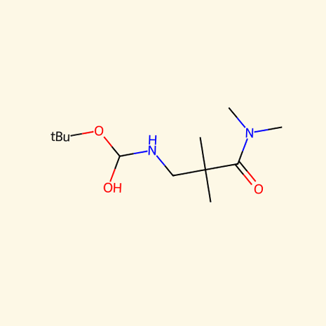 CN(C)C(=O)C(C)(C)CNC(O)OC(C)(C)C